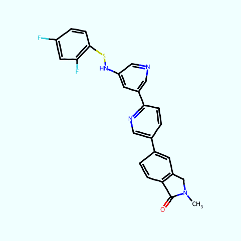 CN1Cc2cc(-c3ccc(-c4cncc(NSc5ccc(F)cc5F)c4)nc3)ccc2C1=O